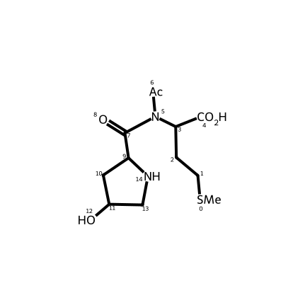 CSCCC(C(=O)O)N(C(C)=O)C(=O)C1CC(O)CN1